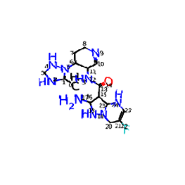 CC1NCNN1C1CCN=CC1NC(=O)C1C(N)NN2CC(F)=CNC12